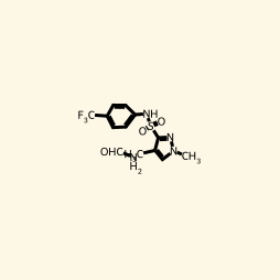 Cc1cn(C)nc1S(=O)(=O)Nc1ccc(C(F)(F)F)cc1.NC=O